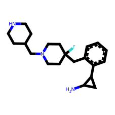 NC1CC1c1ccccc1CC1(F)CCN(CC2CCNCC2)CC1